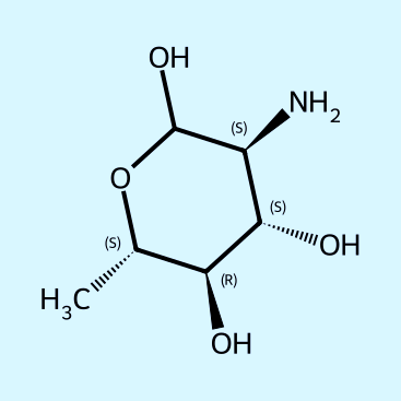 C[C@@H]1OC(O)[C@@H](N)[C@H](O)[C@H]1O